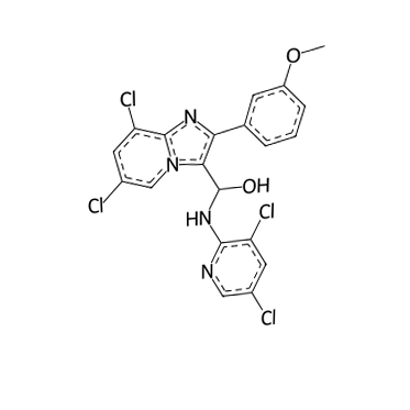 COc1cccc(-c2nc3c(Cl)cc(Cl)cn3c2C(O)Nc2ncc(Cl)cc2Cl)c1